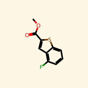 COC(=O)c1cc2c(F)cccc2s1